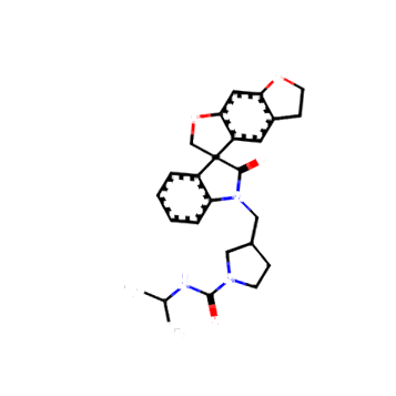 CC(C)NC(=O)N1CCC(CN2C(=O)C3(COc4cc5c(cc43)CCO5)c3ccccc32)C1